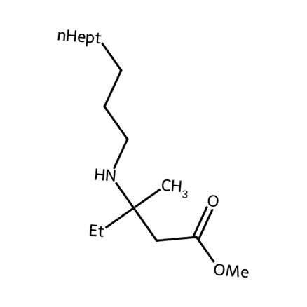 CCCCCCCCCCNC(C)(CC)CC(=O)OC